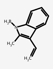 Bn1c(C)c(C=C)c2ccccc21